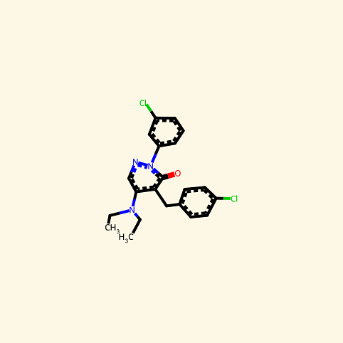 CCN(CC)c1cnn(-c2cccc(Cl)c2)c(=O)c1Cc1ccc(Cl)cc1